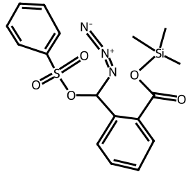 C[Si](C)(C)OC(=O)c1ccccc1C(N=[N+]=[N-])OS(=O)(=O)c1ccccc1